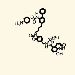 CC(C)(C)[Si](C)(C)O[C@@H](CNCc1ccc2c(c1)oc(=O)n2CCCCc1ccc(-c2ccccc2)c(NC(=O)O[C@H]2CC[C@H](N)CC2)c1)c1ccc(O)c2[nH]c(=O)ccc12